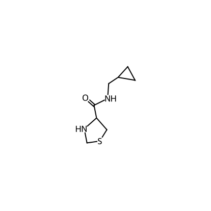 O=C(NCC1CC1)C1CSCN1